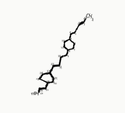 CC=CCCC1CCC(CCCCC2CCC(C=CCCC)CC2)CC1